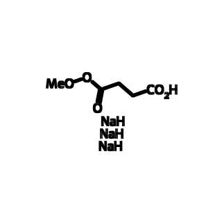 COOC(=O)CCC(=O)O.[NaH].[NaH].[NaH]